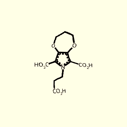 O=C(O)CCn1c(C(=O)O)c2c(c1C(=O)O)OCCCO2